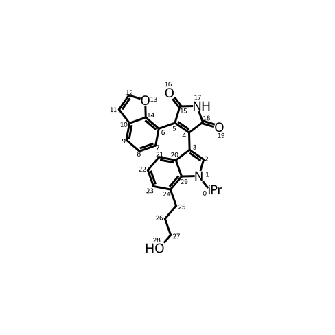 CC(C)n1cc(C2=C(c3cccc4ccoc34)C(=O)NC2=O)c2cccc(CCCO)c21